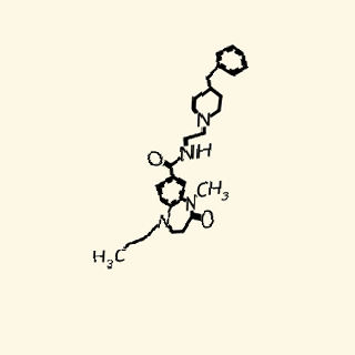 CCCCN1CCC(=O)N(C)c2cc(C(=O)NCCN3CCC(Cc4ccccc4)CC3)ccc21